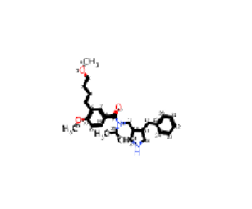 COCCCCc1cc(C(=O)N(CC2CNCC2Cc2ccccc2)C(C)C)ccc1OC